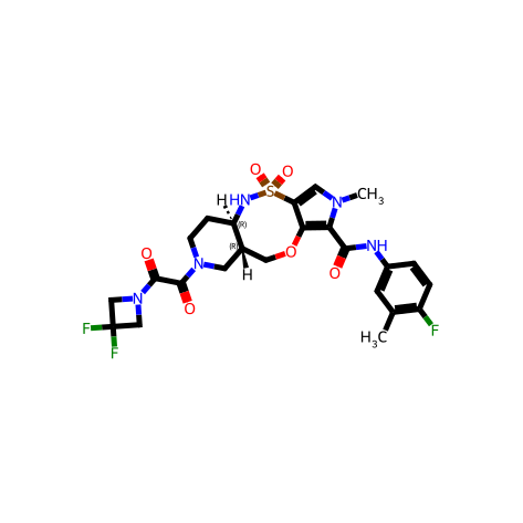 Cc1cc(NC(=O)c2c3c(cn2C)S(=O)(=O)N[C@@H]2CCN(C(=O)C(=O)N4CC(F)(F)C4)C[C@H]2CO3)ccc1F